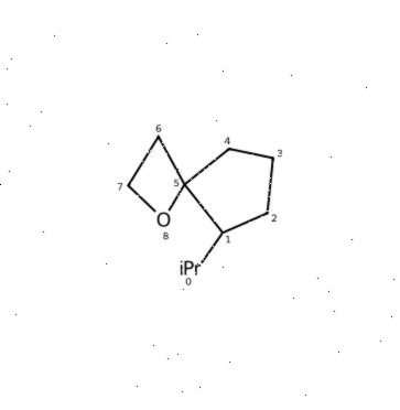 CC(C)C1CCCC12CCO2